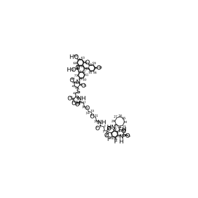 O=C(CCS(=O)(=O)c1c(F)c(F)c(N[SH](=O)=O)c(F)c1NC1CCCCCCC1)NCCOCCOCCC(=O)NC(CSC1CC(=O)N(c2ccc(-c3c4ccc(=O)cc-4oc4cc(O)ccc34)c(C(=O)O)c2)C1=O)C(=O)O